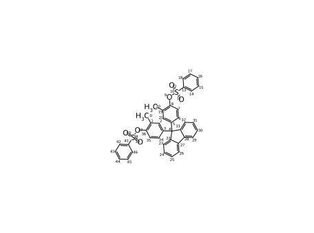 Cc1cc(C2(c3ccc(OS(=O)(=O)c4ccccc4)c(C)c3)c3ccccc3-c3ccccc32)ccc1OS(=O)(=O)c1ccccc1